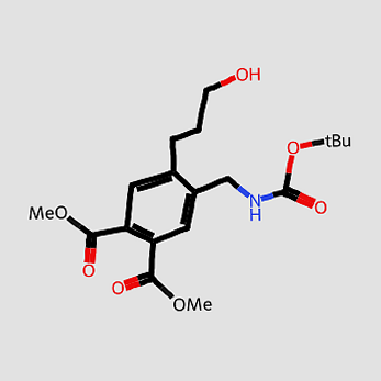 COC(=O)c1cc(CCCO)c(CNC(=O)OC(C)(C)C)cc1C(=O)OC